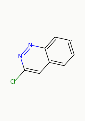 Clc1cc2cc[c]cc2nn1